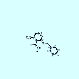 COC(C)c1c(N)cncc1OCc1ccccc1